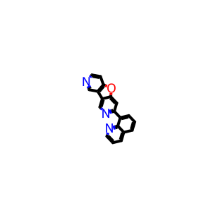 c1cnc2c(-c3cc4oc5ccncc5c4cn3)cccc2c1